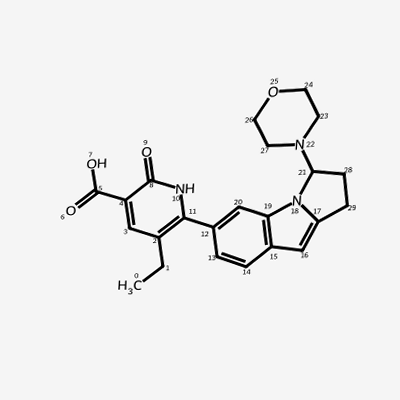 CCc1cc(C(=O)O)c(=O)[nH]c1-c1ccc2cc3n(c2c1)C(N1CCOCC1)CC3